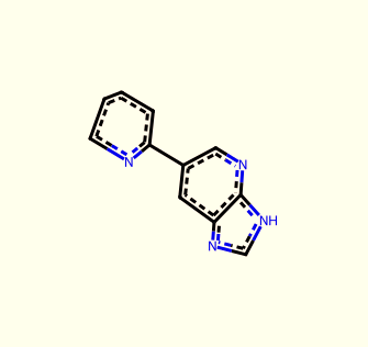 c1ccc(-c2cnc3[nH]cnc3c2)nc1